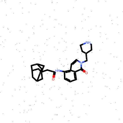 O=C(CC12CC3CC(CC(C3)C1)C2)Nc1cccc2c(=O)n(CC3CCNCC3)ccc12